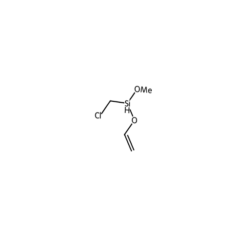 C=CO[SiH](CCl)OC